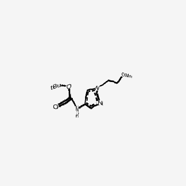 COCCn1cc(NC(=O)OC(C)(C)C)cn1